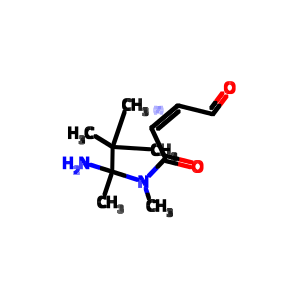 CN(C(=O)/C=C\C=O)C(C)(N)C(C)(C)C